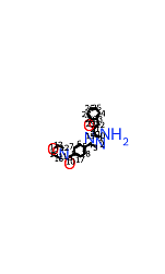 Nc1ncc(-c2ccc(C(=O)N3CCOCC3)cc2)nc1-c1cc2ccccc2o1